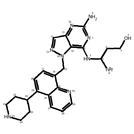 CCCC(CCO)Nc1nc(N)nc2cnn(Cc3ccc(C4CCNCC4)c4cccnc34)c12